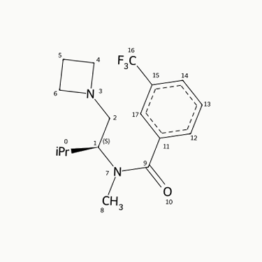 CC(C)[C@@H](CN1CCC1)N(C)C(=O)c1cccc(C(F)(F)F)c1